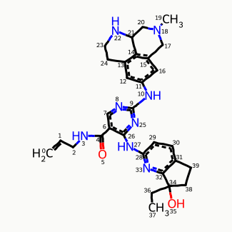 C=CCNC(=O)c1cnc(Nc2cc3c4c(c2)CN(C)CC4NCC3)nc1Nc1ccc2c(n1)C(O)(CC)CC2